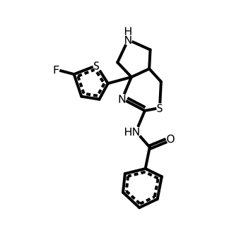 O=C(NC1=NC2(c3ccc(F)s3)CNCC2CS1)c1ccccc1